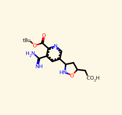 CC(C)(C)OC(=O)c1ncc(C2CC(CC(=O)O)ON2)cc1C(=N)N